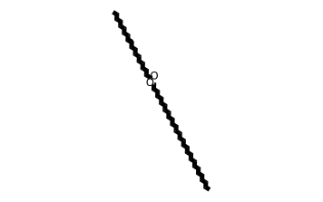 CCCCCCCCC=CCCCCCCCCCC(=O)OCCCCCCCCCCCCCCCCCCCCCCCCCCCCCCC